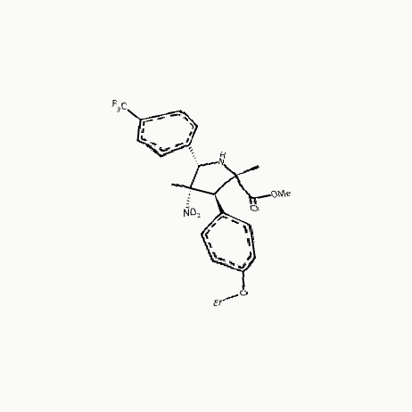 CCOc1ccc([C@H]2[C@](C)([N+](=O)[O-])[C@H](c3ccc(C(F)(F)F)cc3)N[C@]2(C)C(=O)OC)cc1